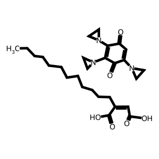 CCCCCCCCCCCC/C(=C/C(=O)O)C(=O)O.O=C1C=C(N2CC2)C(=O)C(N2CC2)=C1N1CC1